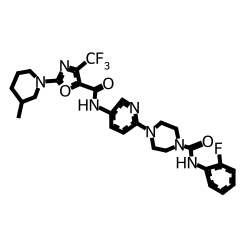 CC1CCCN(c2nc(C(F)(F)F)c(C(=O)Nc3ccc(N4CCN(C(=O)Nc5ccccc5F)CC4)nc3)o2)C1